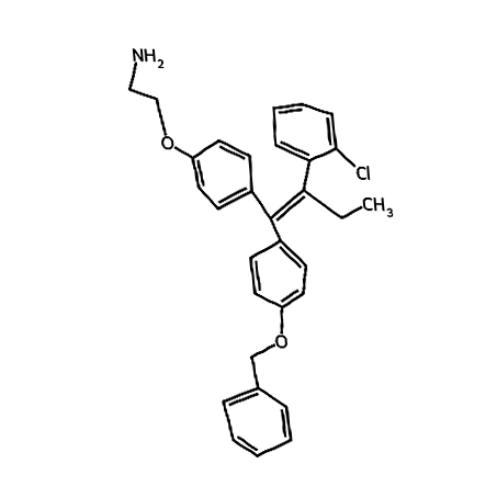 CC/C(=C(/c1ccc(OCCN)cc1)c1ccc(OCc2ccccc2)cc1)c1ccccc1Cl